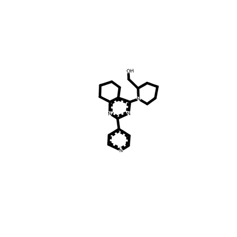 OCC1CCCCN1c1nc(-c2ccncc2)nc2c1CCCC2